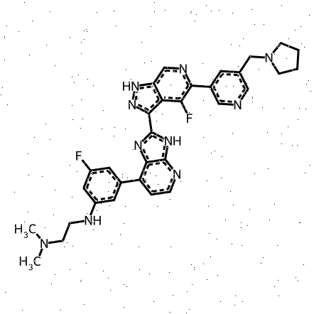 CN(C)CCNc1cc(F)cc(-c2ccnc3[nH]c(-c4n[nH]c5cnc(-c6cncc(CN7CCCC7)c6)c(F)c45)nc23)c1